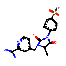 CC1C(=O)N(c2ccc(S(=O)(=O)C(F)(F)F)cc2)C(=O)N1Cc1ccnc(C(=N)N)c1